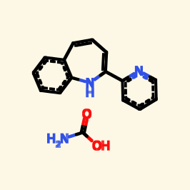 C1=Cc2ccccc2NC(c2ccccn2)=C1.NC(=O)O